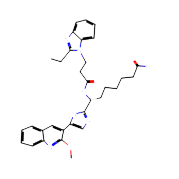 CCc1nc2ccccc2n1CCC(=O)N[C@@H](CCCCCC(N)=O)c1ncc(-c2cc3ccccc3nc2OC)[nH]1